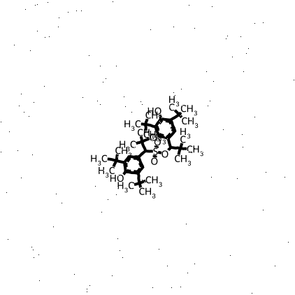 CC(C)(C)c1cc(C(OS(=O)(=O)C(c2cc(C(C)(C)C)c(O)c(C(C)(C)C)c2)C(C)(C)C)C(C)(C)C)cc(C(C)(C)C)c1O